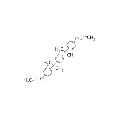 C=CCOc1ccc(C(C)(C)c2ccc(C(C)(C)c3ccc(OCC=C)cc3)cc2)cc1